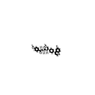 COCC(NC(=O)NNC(=O)c1ccc(OC)cc1)[C@H]1CC[C@@H](c2ccnc3ccc(F)cc32)CC1